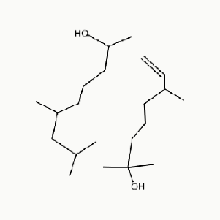 C=CC(C)CCCC(C)(C)O.CC(C)CC(C)CCCC(C)O